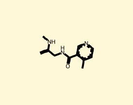 C=C(CNC(=O)c1cnccc1C)NC